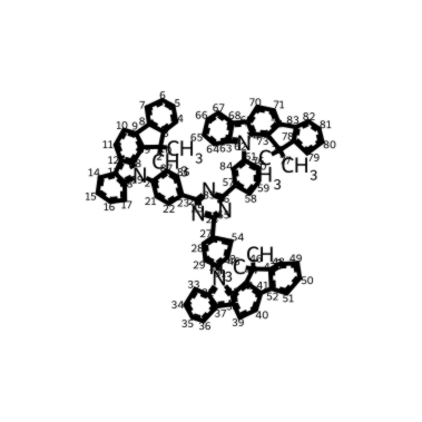 CC1(C)c2ccccc2-c2ccc3c4ccccc4n(-c4ccc(-c5nc(-c6ccc(-n7c8ccccc8c8ccc9c(c87)C(C)(C)c7ccccc7-9)cc6)nc(-c6cccc(-n7c8ccccc8c8ccc9c(c87)C(C)(C)c7ccccc7-9)c6)n5)cc4)c3c21